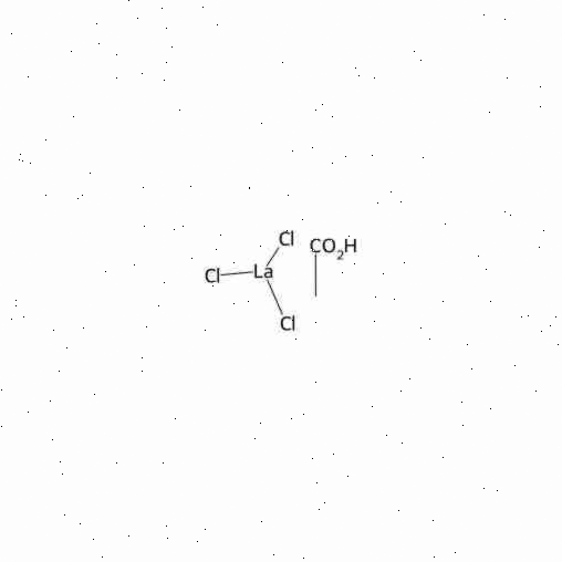 CC(=O)O.[Cl][La]([Cl])[Cl]